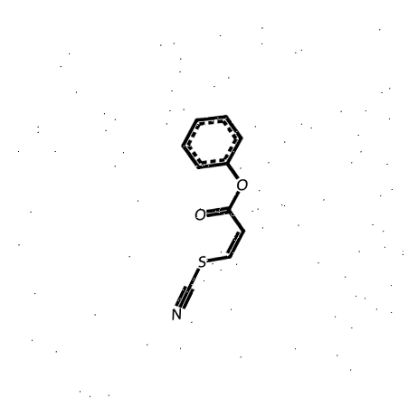 N#CS/C=C\C(=O)Oc1ccccc1